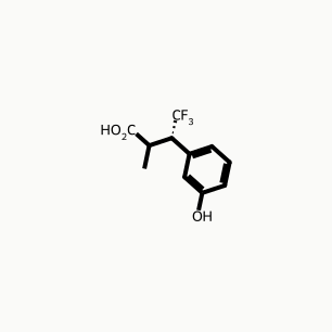 CC(C(=O)O)[C@@H](c1cccc(O)c1)C(F)(F)F